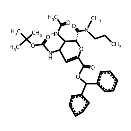 CCCN(C)C(=O)[C@@H]1OC(C(=O)OC(c2ccccc2)c2ccccc2)=CC(NC(=O)OC(C)(C)C)C1NC(C)=O